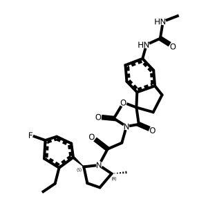 CCc1cc(F)ccc1[C@@H]1CC[C@@H](C)N1C(=O)CN1C(=O)OC2(CCc3cc(NC(=O)NC)ccc32)C1=O